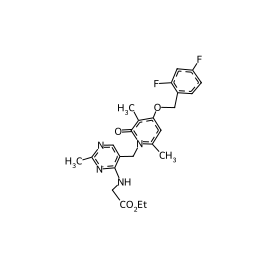 CCOC(=O)CNc1nc(C)ncc1Cn1c(C)cc(OCc2ccc(F)cc2F)c(C)c1=O